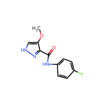 COc1c[nH]nc1C(=O)Nc1ccc(F)cc1